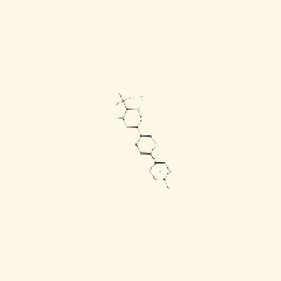 CCCCCCCC(C)(C)C1C(F)CC(C2CCC(C34CCC(C)(CC3)CC4)CC2)CC1F